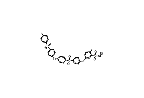 CCNS(=O)(=O)c1cc(Cc2ccc(S(=O)(=O)c3ccc(Oc4ccc(S(=O)(=O)c5ccc(C)cc5)cc4)cc3)cc2)ccc1C